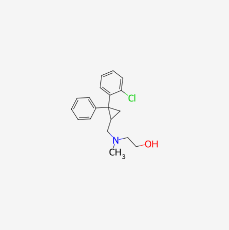 CN(CCO)CC1CC1(c1ccccc1)c1ccccc1Cl